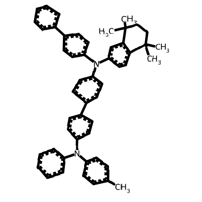 Cc1ccc(N(c2ccccc2)c2ccc(-c3ccc(N(c4ccc(-c5ccccc5)cc4)c4ccc5c(c4)C(C)(C)CCC5(C)C)cc3)cc2)cc1